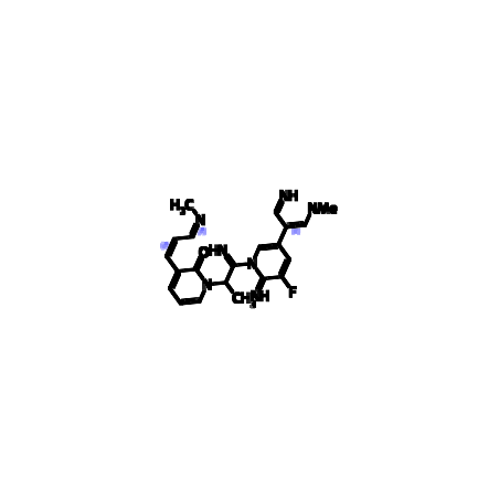 C/N=C\C=C/c1cccn(C(C)C(=N)n2cc(/C(C=N)=C/NC)cc(F)c2=N)c1=O